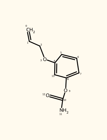 C=CCOc1cccc(OC(N)=O)c1